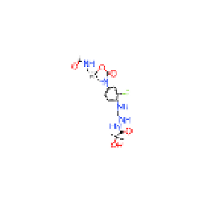 CC(=O)NC[C@H]1CN(c2ccc(NCNNC(=O)C(C)(C)O)c(F)c2)C(=O)O1